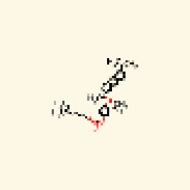 C=CC(=C)CCCCCOC(=O)Oc1ccc(OC(=C)C2=Cc3cc4ccc(C(=C)C)cc4cc3CC2)c(C(=C)CC)c1